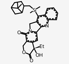 CC[C@@]1(O)C(=O)OCc2c1cc1n(c2=O)Cc2c-1nc1ccccc1c2[Si](C)(C)CC1CCC2CC1C2(C)C